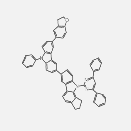 c1ccc(-c2cc(-c3ccccc3)nc(-n3c4ccc(-c5ccc6c(c5)c5cc(-c7ccc8c(c7)CCO8)ccc5n6-c5ccccc5)cc4c4ccc5c(c43)CCC5)n2)cc1